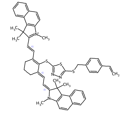 C=Cc1ccc(CSc2nnc(SC3=C(/C=C/C4=[N+](C)c5ccc6ccccc6c5C4(C)C)CCC/C3=C\C=C3\N(C)c4ccc5ccccc5c4C3(C)C)s2)cc1